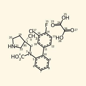 C[C@@]1(CN(C(=O)O)c2ccccc2-c2ccc(F)c(Cl)c2)CCNC1.O=C(O)C(=O)O